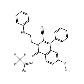 COc1ccc2c(=O)n(CCNc3ccccc3)c(C#N)c(-c3ccccc3)c2c1.O=C(O)C(F)(F)F